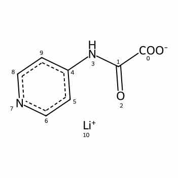 O=C([O-])C(=O)Nc1ccncc1.[Li+]